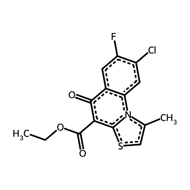 CCOC(=O)c1c(=O)c2cc(F)c(Cl)cc2n2c(C)csc12